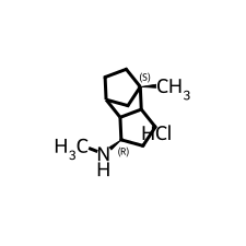 CN[C@@H]1CCC2C1C1CC[C@@]2(C)C1.Cl